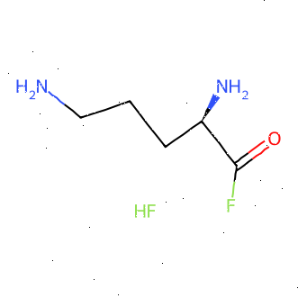 F.NCCC[C@@H](N)C(=O)F